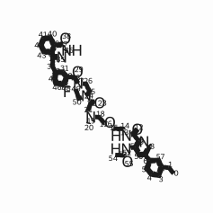 CCc1cccc(-c2cnc(C(=O)NCCOCCN(C)CC(=O)N3CCN(C(=O)c4cc(Cc5n[nH]c(=O)c6ccccc56)ccc4F)CC3)c(NC(C)=O)c2)c1